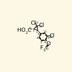 O=C(O)[C@H]1[C@H](c2ccc(OC(F)(F)F)c(Cl)c2)C1(Cl)Cl